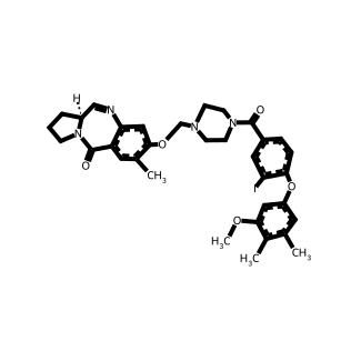 COc1cc(Oc2ccc(C(=O)N3CCN(COc4cc5c(cc4C)C(=O)N4CCC[C@H]4C=N5)CC3)cc2I)cc(C)c1C